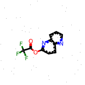 O=C(Oc1ccc2ncccc2n1)C(F)(F)F